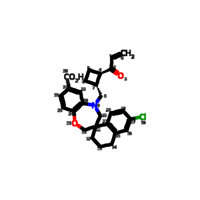 C=CC(=O)[C@@H]1CC[C@H]1CN1CC2(CCCc3cc(Cl)ccc32)COc2ccc(C(=O)O)cc21